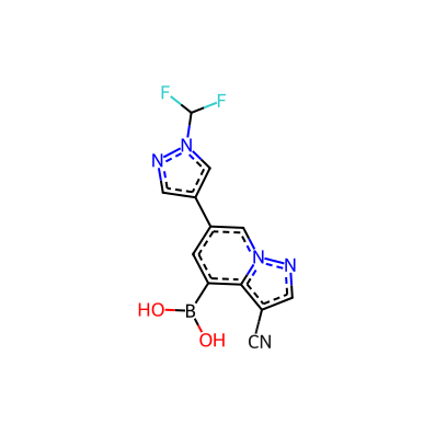 N#Cc1cnn2cc(-c3cnn(C(F)F)c3)cc(B(O)O)c12